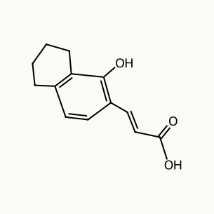 O=C(O)C=Cc1ccc2c(c1O)CCCC2